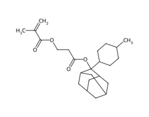 C=C(C)C(=O)OCCC(=O)OC1(C2CCC(C)CC2)C2CC3CC(C2)CC1C3